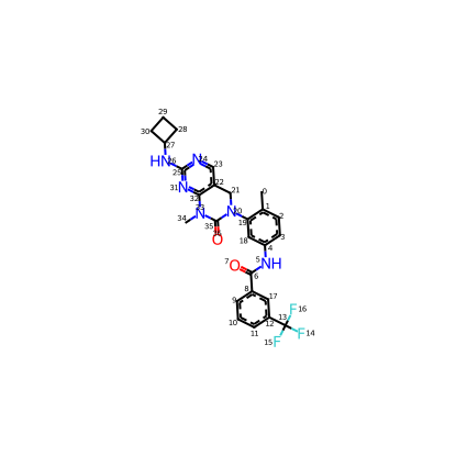 Cc1ccc(NC(=O)c2cccc(C(F)(F)F)c2)cc1N1Cc2cnc(NC3CCC3)nc2N(C)C1=O